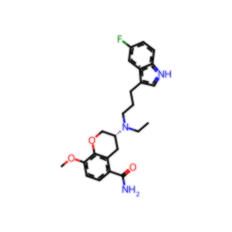 CCN(CCCc1c[nH]c2ccc(F)cc12)[C@H]1COc2c(OC)ccc(C(N)=O)c2C1